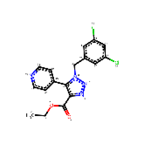 CCOC(=O)c1nnn(Cc2cc(Cl)cc(Cl)c2)c1-c1ccncc1